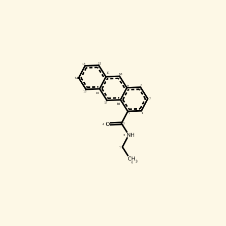 C[CH]NC(=O)c1cccc2cc3ccccc3cc12